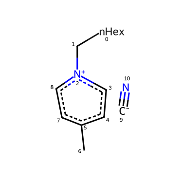 CCCCCCC[n+]1ccc(C)cc1.[C-]#N